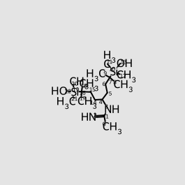 CC(=N)NC(CCC(C)(C)[Si](C)(C)O)CCC(C)(C)[Si](C)(C)O